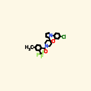 Cc1ccc(C(=O)N2CCC3(CC2)Oc2cc(Cl)ccc2-n2cccc23)c(C(F)(F)F)c1